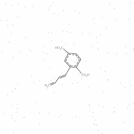 C=CC=Cc1cc(C(=O)O)ccc1C(=O)O